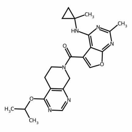 Cc1nc(NC2(C)CC2)c2c(C(=O)N3CCc4c(ncnc4OC(C)C)C3)coc2n1